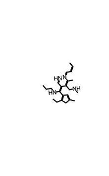 C\C=C/C=N\C(C)=C(CNC)/C(C=N)=C(/NCCC)C1=C(CC)CC(C)=C1